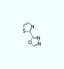 c1csc(-c2nnco2)n1